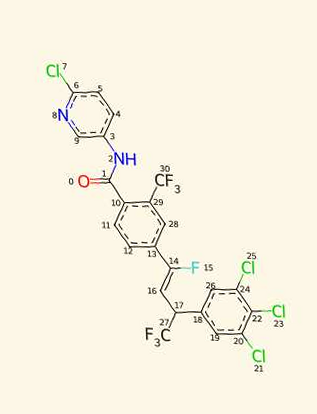 O=C(Nc1ccc(Cl)nc1)c1ccc(C(F)=CC(c2cc(Cl)c(Cl)c(Cl)c2)C(F)(F)F)cc1C(F)(F)F